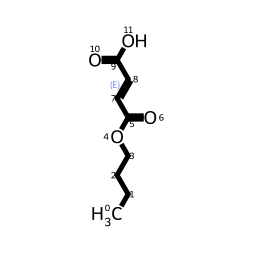 CCCCOC(=O)/C=C/C(=O)O